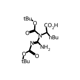 CCCCC(C(=O)O)N(C(=O)OC(C)(C)C)/C(N)=N/C(=O)OC(C)(C)C